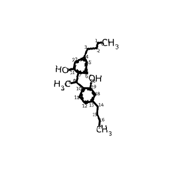 CCCCc1ccc(C(C)c2ccc(CCCC)cc2O)c(O)c1